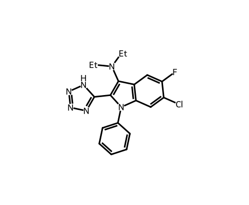 CCN(CC)c1c(-c2nnn[nH]2)n(-c2ccccc2)c2cc(Cl)c(F)cc12